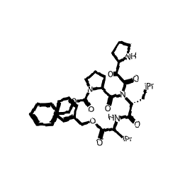 CC(C)C[C@H](C(=O)NC(C(=O)OCc1ccccc1)C(C)C)N(C(=O)C(=O)C1CCCN1)C(=O)C1CCCN1C(=O)OCc1ccccc1